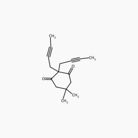 CC#CCC1(CC#CC)C(=O)CC(C)(C)CC1=O